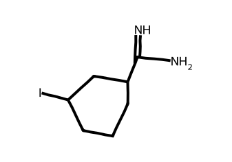 N=C(N)C1CCCC(I)C1